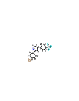 FC(F)(F)c1ccc(-c2ccnc(-c3ccc(Br)cc3)c2)cc1